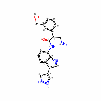 NCC(C(=O)Nc1cccc2c(-c3cn[nH]c3)c[nH]c12)c1cccc(CO)c1